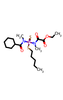 CCCCCSP(=S)(N(C)C(=O)C(=O)OCC)N(C)C(=O)C1CCCCC1